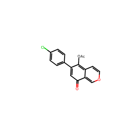 CC(=O)Oc1c(-c2ccc(Cl)cc2)cc(=O)c2coccc1-2